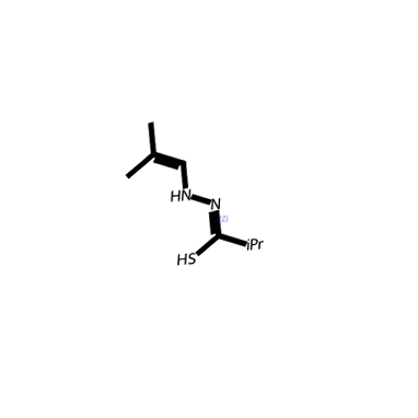 CC(C)=CN/N=C(\S)C(C)C